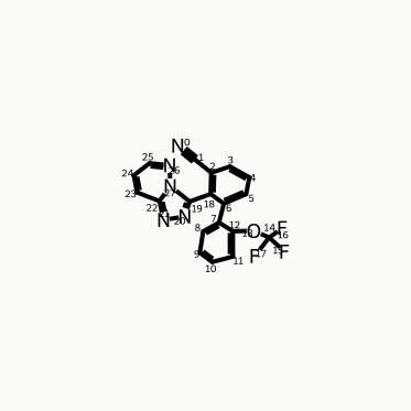 N#Cc1cccc(-c2ccccc2OC(F)(F)F)c1-c1nnc2cccnn12